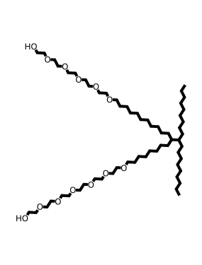 CCCCCCCCCC(CCCCCCCCC)C(CCCCCCCCCCCOCCOCCOCCOCCOCCO)CCCCCCCCOCCOCCOCCOCCOCCOCCO